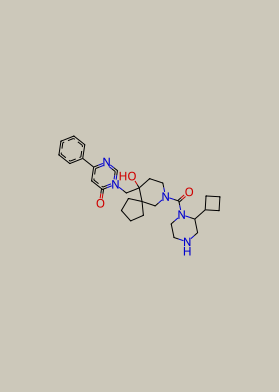 O=C(N1CCC(O)(Cn2cnc(-c3ccccc3)cc2=O)C2(CCCC2)C1)N1CCNCC1C1CCC1